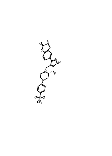 O=C1NCc2cc(-c3n[nH]cc3CN3CCN(c4ccc(S(=O)(=O)C(F)(F)F)cn4)C[C@H]3CF)ccc2O1